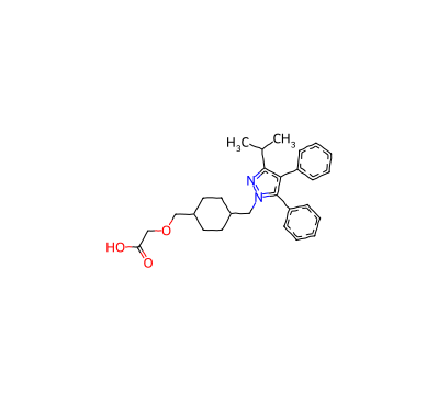 CC(C)c1nn(CC2CCC(COCC(=O)O)CC2)c(-c2ccccc2)c1-c1ccccc1